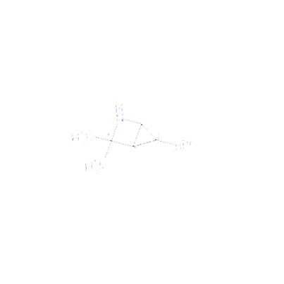 CCCC1C2NC(C)(C)C12